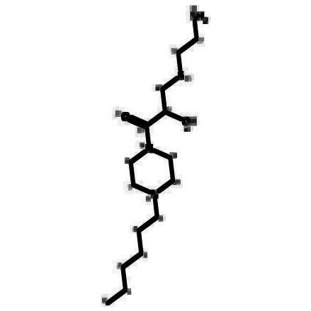 CCCCCCN1CCN(C(=O)C(O)CSCCN)CC1